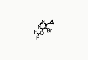 FC(F)Oc1ncnc(C2CC2)c1Br